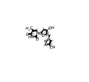 Cc1cn([C@H]2C[C@H](O)[C@@H](Cn3cc(C#N)nn3)O2)c(=O)[nH]c1=O